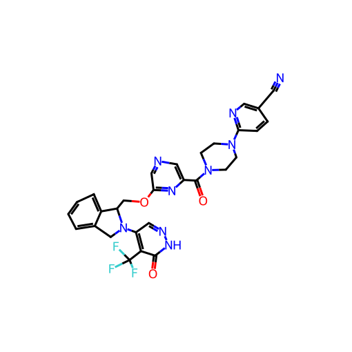 N#Cc1ccc(N2CCN(C(=O)c3cncc(OCC4c5ccccc5CN4c4cn[nH]c(=O)c4C(F)(F)F)n3)CC2)nc1